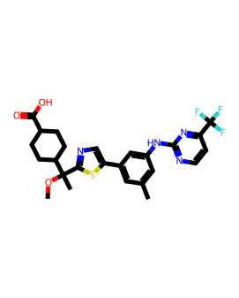 COC(C)(c1ncc(-c2cc(C)cc(Nc3nccc(C(F)(F)F)n3)c2)s1)C1CCC(C(=O)O)CC1